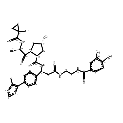 Cc1ncsc1-c1ccc([C@H](CC(=O)NCCNC(=O)c2ccc(O)c(O)c2)NC(=O)[C@@H]2C[C@@H](O)CN2C(=O)[C@@H](NC(=O)C2(F)CC2)C(C)(C)C)cc1